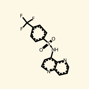 O=S(=O)(Nc1ccnc2cccnc12)c1ccc(C(F)(F)F)cc1